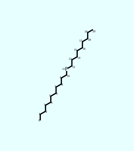 CCCCCCCCCCC[P]CCCCCCCCC